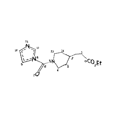 CCOC(=O)CC1CCN(C(=O)n2ccnc2)CC1